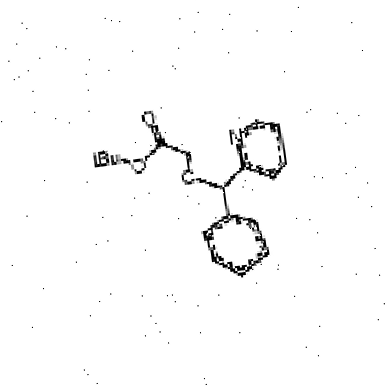 CC(C)(C)OC(=O)COC(c1ccccc1)c1ccccn1